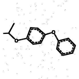 CC(C)Oc1ccc(Oc2c[c]ccc2)cc1